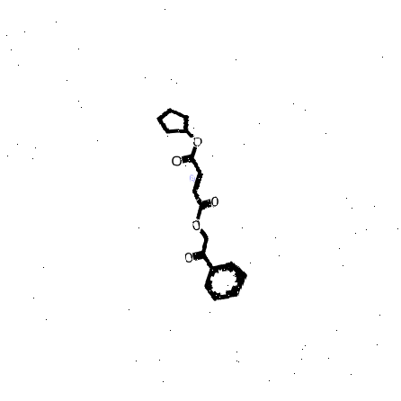 O=C(/C=C/C(=O)OC1CCCC1)OCC(=O)c1ccccc1